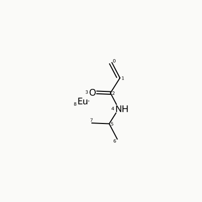 C=CC(=O)NC(C)C.[Eu]